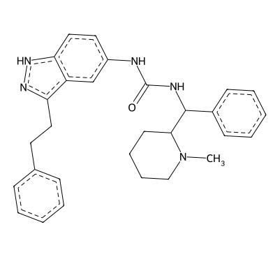 CN1CCCCC1C(NC(=O)Nc1ccc2[nH]nc(CCc3ccccc3)c2c1)c1ccccc1